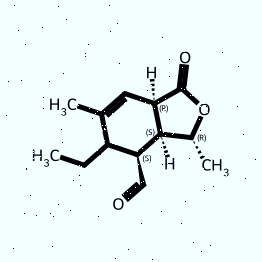 CCC1C(C)=C[C@H]2C(=O)O[C@H](C)[C@H]2[C@H]1C=O